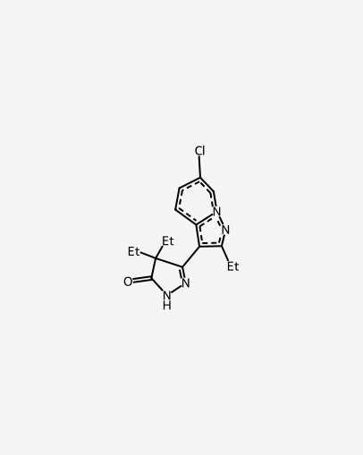 CCc1nn2cc(Cl)ccc2c1C1=NNC(=O)C1(CC)CC